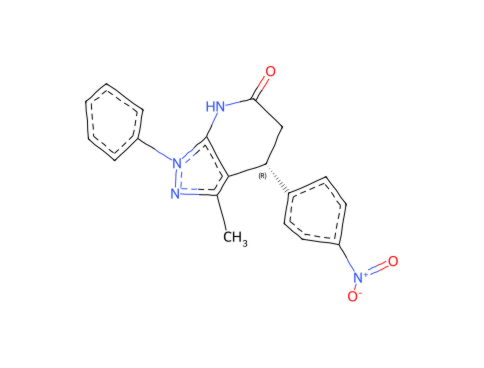 Cc1nn(-c2ccccc2)c2c1[C@@H](c1ccc([N+](=O)[O-])cc1)CC(=O)N2